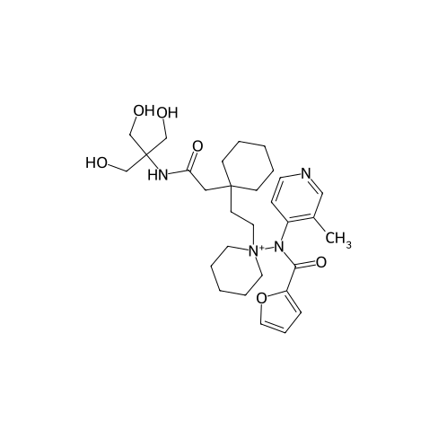 Cc1cnccc1N(C(=O)c1ccco1)[N+]1(CCC2(CC(=O)NC(CO)(CO)CO)CCCCC2)CCCCC1